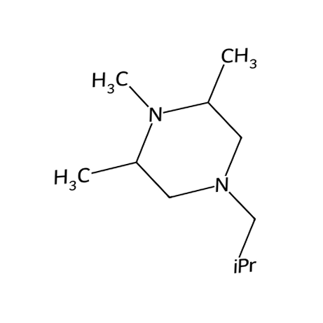 CC(C)CN1CC(C)N(C)C(C)C1